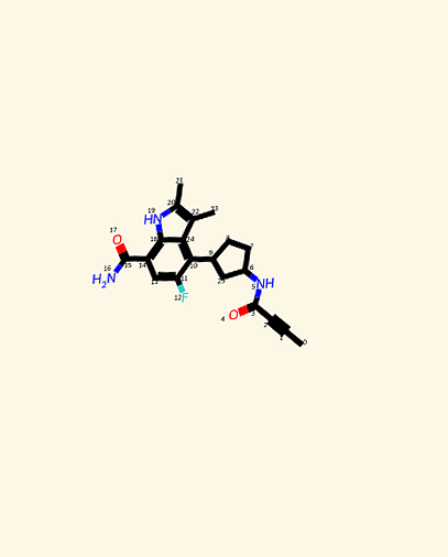 CC#CC(=O)NC1CCC(c2c(F)cc(C(N)=O)c3[nH]c(C)c(C)c23)C1